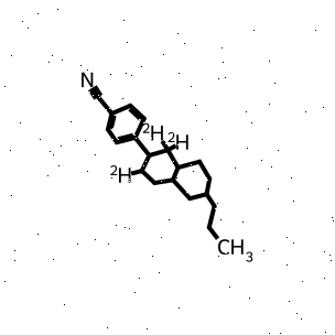 [2H]C1CC2CC(CCC)CCC2C([2H])([2H])C1c1ccc(C#N)cc1